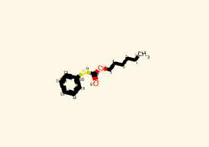 CCCCC[CH]OC(=O)Sc1ccccc1